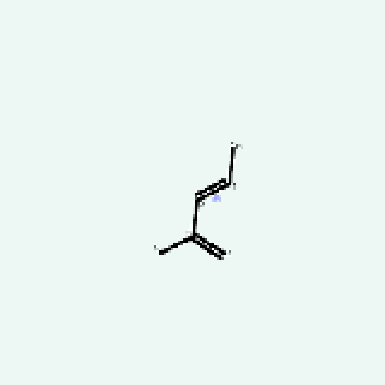 [CH2]/C=C/C(=C)C